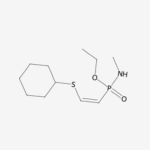 CCOP(=O)(/C=C\SC1CCCCC1)NC